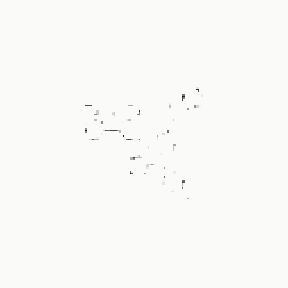 CC1(C)c2ccccc2-c2cc(-c3c4ccccc4c(-c4ccc(F)cc4)c4ccc(-c5ccc6ccccc6c5)cc34)ccc21